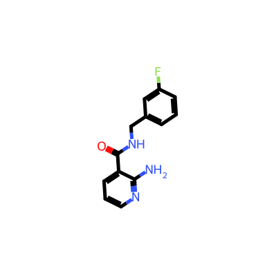 Nc1ncccc1C(=O)NCc1cccc(F)c1